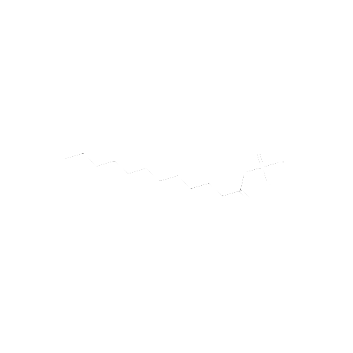 CCCCCCCCCCCC(=O)OP(=O)(O)O